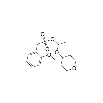 COc1ccccc1CS(=O)(=O)OC(C)OC1CCOCC1